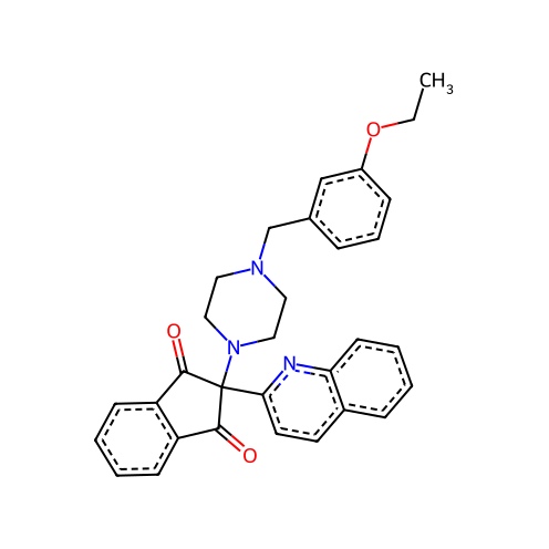 CCOc1cccc(CN2CCN(C3(c4ccc5ccccc5n4)C(=O)c4ccccc4C3=O)CC2)c1